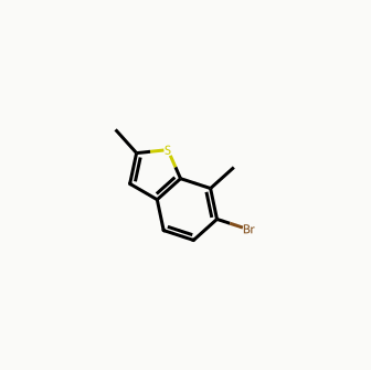 Cc1cc2ccc(Br)c(C)c2s1